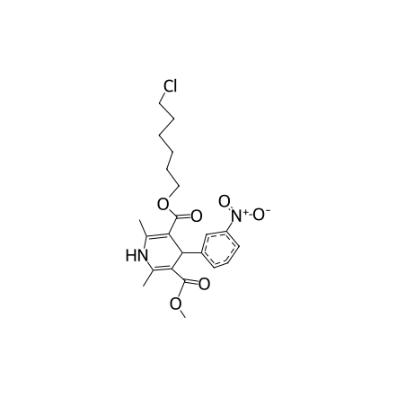 COC(=O)C1=C(C)NC(C)=C(C(=O)OCCCCCCCl)C1c1cccc([N+](=O)[O-])c1